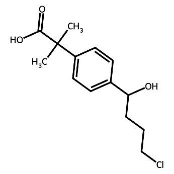 CC(C)(C(=O)O)c1ccc(C(O)CCCCl)cc1